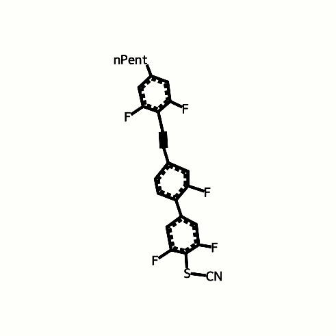 CCCCCc1cc(F)c(C#Cc2ccc(-c3cc(F)c(SC#N)c(F)c3)c(F)c2)c(F)c1